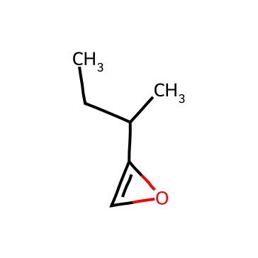 CCC(C)C1=CO1